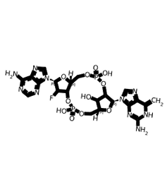 C=C1NC(N)=Nc2c1ncn2[C@@H]1O[C@@H]2COP(=O)(O)OC3C(F)[C@H](n4cnc5c(N)ncnc54)O[C@@H]3COP(=O)(O)OC1C2O